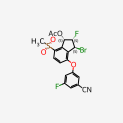 CC(=O)O[C@H]1c2c(S(C)(=O)=O)ccc(Oc3cc(F)cc(C#N)c3)c2[C@H](Br)[C@H]1F